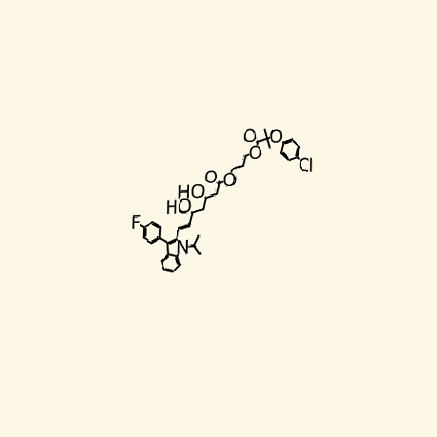 CC(C)n1c(/C=C/[C@@H](O)C[C@@H](O)CC(=O)OCCCOC(=O)C(C)(C)Oc2ccc(Cl)cc2)c(-c2ccc(F)cc2)c2ccccc21